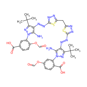 CC(C)(C)c1nn(-c2cc(C(=O)O)ccc2OC=O)c(N)c1N=Nc1nnc(Cc2nnc(N=Nc3c(C(C)(C)C)nn(-c4cc(OC=O)ccc4C(=O)O)c3N)s2)s1